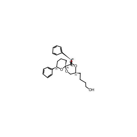 OCCCC[C@H]1CO[C@@]2(CCC[C@H](c3ccccc3)O2)[C@]2(CCC[C@H](c3ccccc3)O2)O1